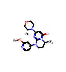 CC(C)Oc1cc(N2CCC(C(F)(F)F)n3c2nc(N2CCOC[C@H]2C)cc3=O)ccn1